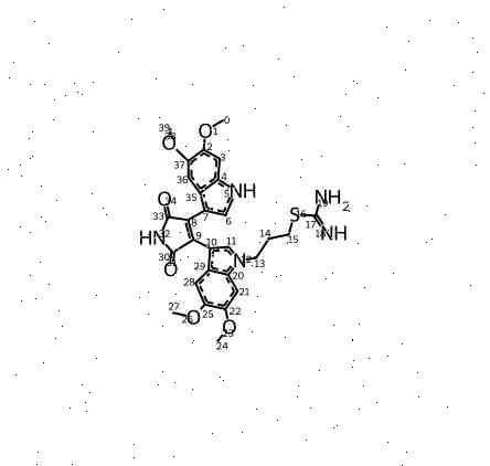 COc1cc2[nH]cc(C3=C(c4cn(CCCSC(=N)N)c5cc(OC)c(OC)cc45)C(=O)NC3=O)c2cc1OC